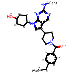 CCCC(C)Nc1ncc2c(C3CCN(C(=O)c4ccc(CNC)cc4)CC3)cn(C3CCC(O)CC3)c2n1